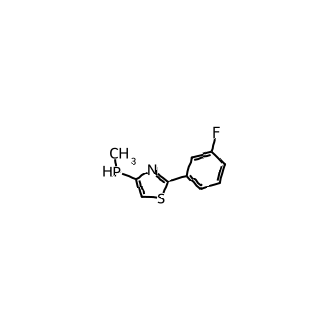 CPc1csc(-c2cccc(F)c2)n1